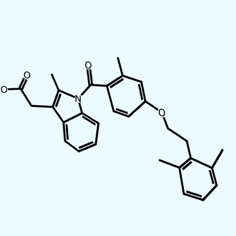 Cc1cc(OCCc2c(C)cccc2C)ccc1C(=O)n1c(C)c(CC(=O)O)c2ccccc21